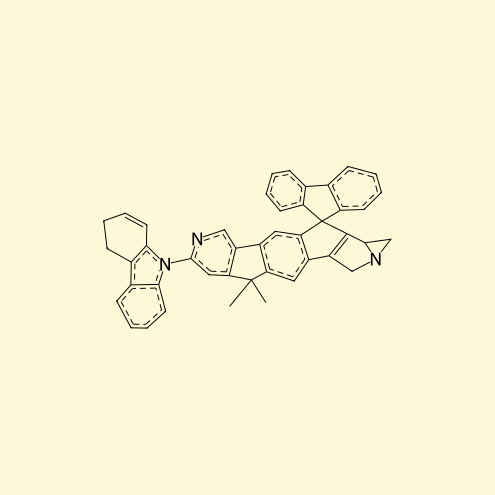 CC1(C)c2cc(-n3c4c(c5ccccc53)CCC=C4)ncc2-c2cc3c(cc21)C1=C(C2CN2C1)C31c2ccccc2-c2ccccc21